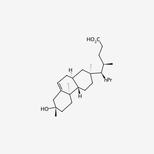 CCC[C@H]([C@H](C)CCC(=O)O)[C@@]1(C)CC[C@H]2[C@@H](CC=C3C[C@@](C)(O)CC[C@@]32C)C1